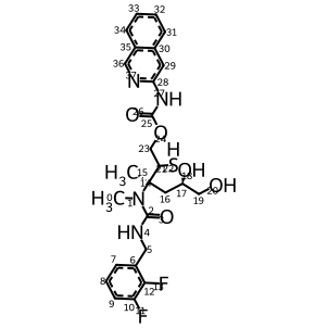 CN(C(=O)NCc1cccc(F)c1F)[C@](C)(C[C@@H](O)CO)C(S)COC(=O)Nc1cc2ccccc2cn1